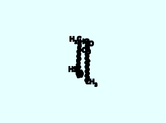 CCCCCCCCCCCCCCC(S)c1ccccc1.CCCCCCCCCCCCCCOC(=O)C=CC(=O)O